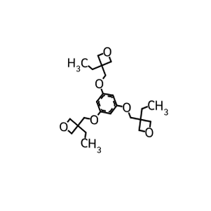 CCC1(COc2cc(OCC3(CC)COC3)cc(OCC3(CC)COC3)c2)COC1